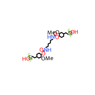 COC1CC(CC[Si](O)(F)F)CCC1OC(=O)NCCCCCCNC(=O)OC1CCC(CC[Si](O)(F)F)CC1OC